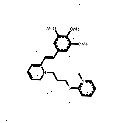 COc1cc(/C=C/C2=CC=CCN2CCCSc2cccc[n+]2C)cc(OC)c1OC